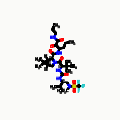 C=CCNC(=O)C(=O)C(CCC)NC(=O)[C@@H]1[C@@H]2[C@H](CN1C(=O)[C@@H](NC(=O)N[C@H](CN(C)S(=O)(=O)C(F)(F)F)C(=C)C)C(C)(C)C)C2(C)C